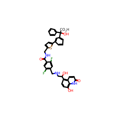 O=C(NCc1ccc(-c2cccc(C(O)(C(=O)O)c3ccccc3)c2)s1)c1cc(F)c(CNCC(O)c2ccc(O)c3[nH]c(=O)ccc23)cc1F